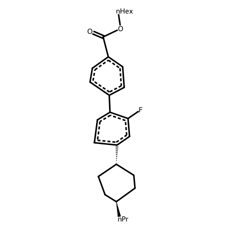 CCCCCCOC(=O)c1ccc(-c2ccc([C@H]3CC[C@H](CCC)CC3)cc2F)cc1